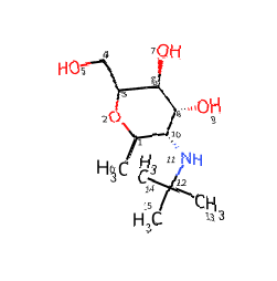 CC1OC(CO)[C@@H](O)[C@H](O)[C@@H]1NC(C)(C)C